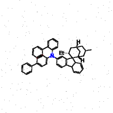 CC[C@@H]1C[C@@H]2CC(C)C[C@@H](C2)C12c1cc(N(c3ccc(-c4ccccc4)cc3)c3ccccc3-c3ccccc3)ccc1C1C=CC=CC12